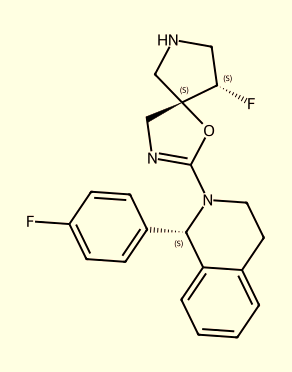 Fc1ccc([C@H]2c3ccccc3CCN2C2=NC[C@]3(CNC[C@@H]3F)O2)cc1